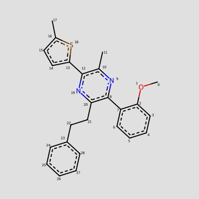 COc1ccccc1-c1nc(C)c(-c2ccc(C)s2)nc1CCc1ccccc1